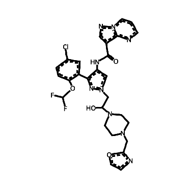 O=C(Nc1cn(CC(O)N2CCN(Cc3ncco3)CC2)nc1-c1cc(Cl)ccc1OC(F)F)c1cnn2cccnc12